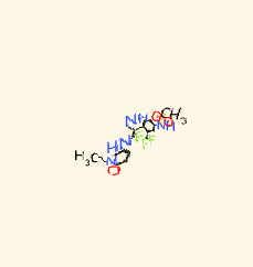 CCCn1cc(N/C=C(\C=N)c2ccc(NS(C)(=O)=O)cc2C(F)(F)F)ccc1=O